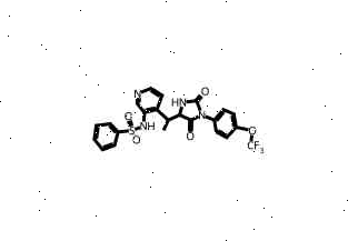 CC(c1ccncc1NS(=O)(=O)c1ccccc1)C1NC(=O)N(c2ccc(OC(F)(F)F)cc2)C1=O